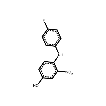 O=[N+]([O-])c1cc(O)ccc1Nc1ccc(F)cc1